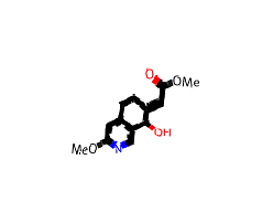 COC(=O)/C=C1\CCc2cc(OC)ncc2C1O